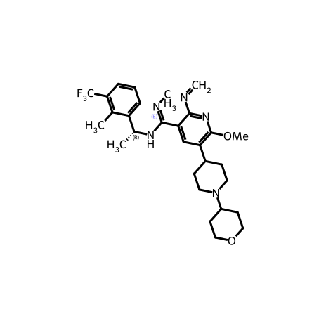 C=Nc1nc(OC)c(C2CCN(C3CCOCC3)CC2)cc1/C(=N\C)N[C@H](C)c1cccc(C(F)(F)F)c1C